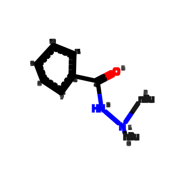 CCCCN(CCCC)NC(=O)c1[c]cccc1